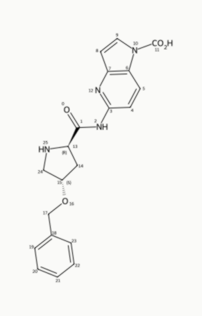 O=C(Nc1ccc2c(ccn2C(=O)O)n1)[C@H]1C[C@H](OCc2ccccc2)CN1